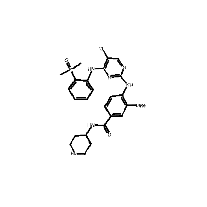 COc1cc(C(=O)NC2CCNCC2)ccc1Nc1ncc(Cl)c(Nc2ccccc2P(C)(C)=O)n1